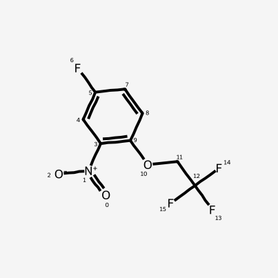 O=[N+]([O-])c1cc(F)ccc1OCC(F)(F)F